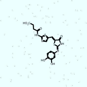 O=C(O)CCC(=O)Nc1ncc(/C=C2\S/C(=N\c3ccc(O)c(O)c3)NC2=O)s1